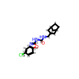 O=C(NCC1CC2CCC(C2)C1)Nc1nc2cc(Cl)ccc2o1